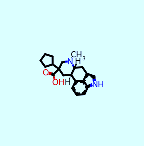 CN1CC(C(=O)O)(C2CCCC2)C[C@@H]2c3cccc4[nH]cc(c34)C[C@H]21